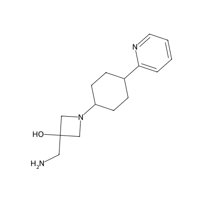 NCC1(O)CN(C2CCC(c3ccccn3)CC2)C1